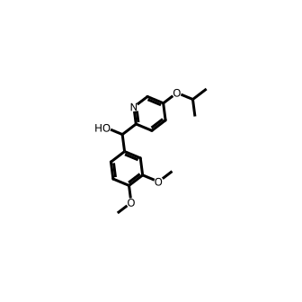 COc1ccc(C(O)c2ccc(OC(C)C)cn2)cc1OC